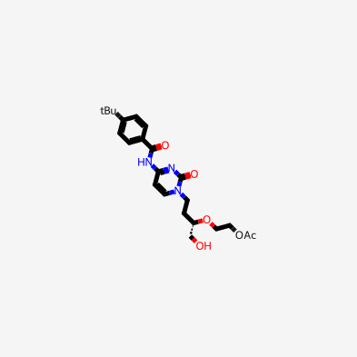 CC(=O)OCCO[C@H](CO)CCn1ccc(NC(=O)c2ccc(C(C)(C)C)cc2)nc1=O